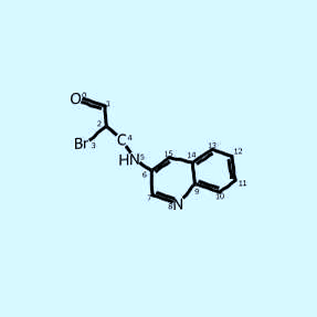 O=CC(Br)CNc1cnc2ccccc2c1